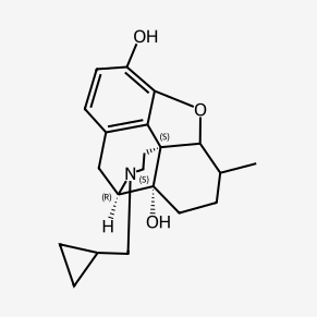 CC1CC[C@@]2(O)[C@H]3Cc4ccc(O)c5c4[C@@]2(CCN3CC2CC2)C1O5